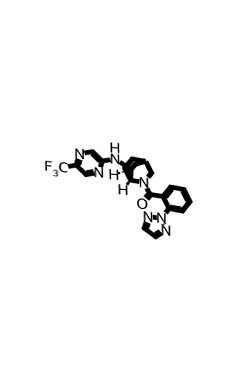 O=C(c1ccccc1-n1nccn1)N1CC2CC[C@@H]1[C@@H](Nc1cnc(C(F)(F)F)cn1)C2